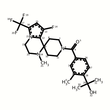 Cc1cc(C(=O)N2CCC3(CC2)c2c(F)cc(C(F)(F)F)n2CCN3C)ccc1C(C)(C)O